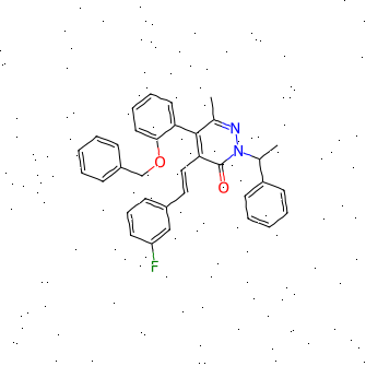 Cc1nn(C(C)c2ccccc2)c(=O)c(C=Cc2cccc(F)c2)c1-c1ccccc1OCc1ccccc1